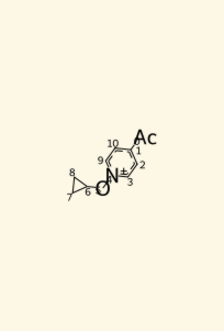 CC(=O)c1cc[n+](OC2CC2)cc1